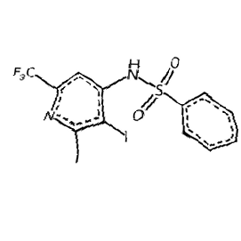 Cc1nc(C(F)(F)F)cc(NS(=O)(=O)c2ccccc2)c1I